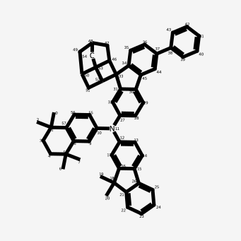 CC1(C)CCC(C)(C)c2cc(N(c3ccc4c(c3)C(C)(C)c3ccccc3-4)c3ccc4c(c3)C3(c5ccc(-c6ccccc6)cc5-4)C4CC5CC6CC3C64C5)ccc21